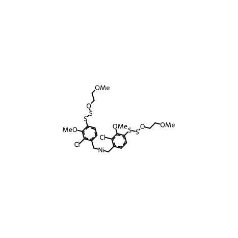 COCCOSSc1ccc([CH2][Ni][CH2]c2ccc(SSOCCOC)c(OC)c2Cl)c(Cl)c1OC